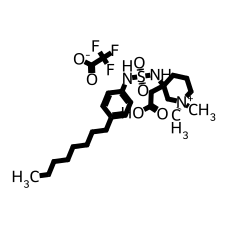 CCCCCCCCc1ccc(NS(=O)(=O)NC2(CC(=O)O)CCC[N+](C)(C)C2)cc1.O=C([O-])C(F)(F)F